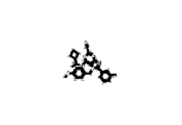 COc1ccc(Cn2c(-c3cccc(C)c3)nc3nc(C#N)nc(NC(C)C4CCC4)c32)cc1